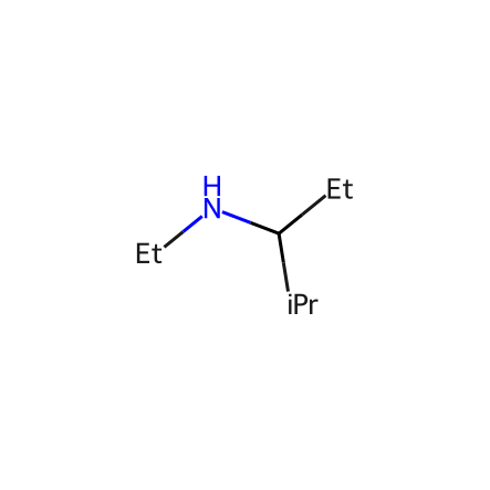 CCNC(CC)C(C)C